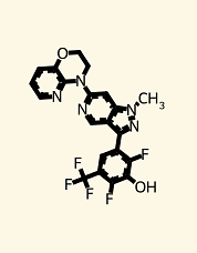 Cn1nc(-c2cc(C(F)(F)F)c(F)c(O)c2F)c2cnc(N3CCOc4cccnc43)cc21